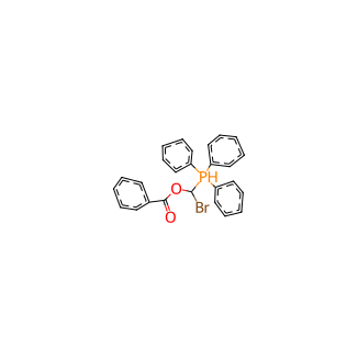 O=C(OC(Br)[PH](c1ccccc1)(c1ccccc1)c1ccccc1)c1ccccc1